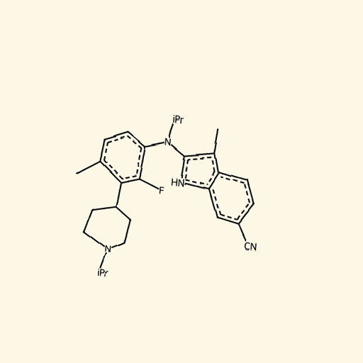 Cc1ccc(N(c2[nH]c3cc(C#N)ccc3c2C)C(C)C)c(F)c1C1CCN(C(C)C)CC1